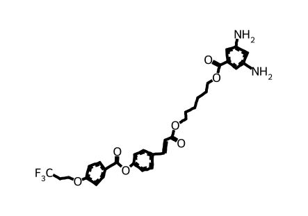 Nc1cc(N)cc(C(=O)OCCCCCCOC(=O)C=Cc2ccc(OC(=O)c3ccc(OCCC(F)(F)F)cc3)cc2)c1